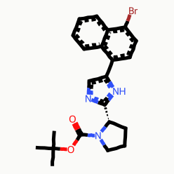 CC(C)(C)OC(=O)N1CCC[C@H]1c1ncc(-c2ccc(Br)c3ccccc23)[nH]1